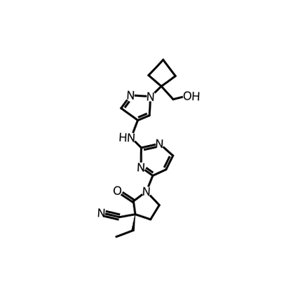 CC[C@]1(C#N)CCN(c2ccnc(Nc3cnn(C4(CO)CCC4)c3)n2)C1=O